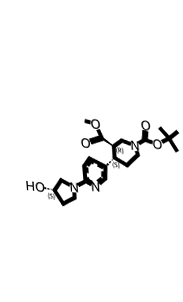 COC(=O)[C@H]1CN(C(=O)OC(C)(C)C)CC[C@@H]1c1ccc(N2CC[C@H](O)C2)nc1